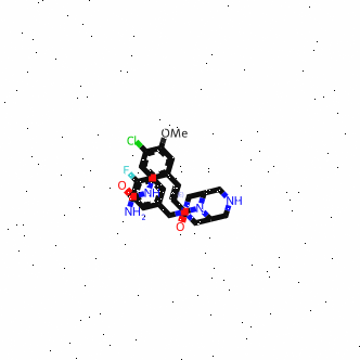 COc1cc(/C=C/C(=O)N2C3CNCC2CN(Cc2ccc(F)cc2)C3)c(NC(N)=O)cc1Cl